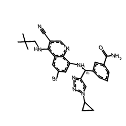 CC(C)(C)CNc1c(C#N)cnc2c(N[C@@H](c3cccc(C(N)=O)c3)c3cn(C4CC4)nn3)cc(Br)cc12